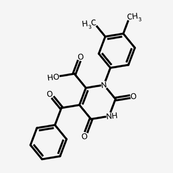 Cc1ccc(-n2c(C(=O)O)c(C(=O)c3ccccc3)c(=O)[nH]c2=O)cc1C